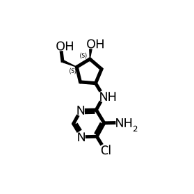 Nc1c(Cl)ncnc1NC1C[C@@H](CO)[C@@H](O)C1